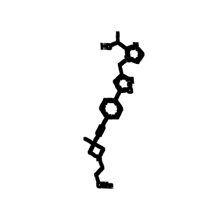 COCCN1CC(C)(C#Cc2ccc(-c3cc(Cn4ccnc4C(C)O)no3)cc2)C1